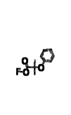 CC(C)(Oc1ccccc1)C(=O)OF